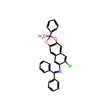 CC1(c2ccccc2)Oc2cc3cc(Br)c(N=C(c4ccccc4)c4ccccc4)cc3cc2O1